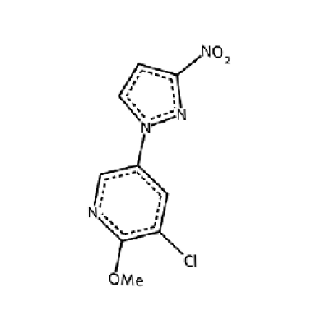 COc1ncc(-n2ccc([N+](=O)[O-])n2)cc1Cl